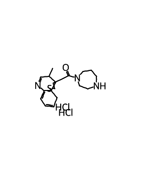 CC1C=NC2=CC=CCC23SCC(C(=O)N2CCCNCC2)C13.Cl.Cl